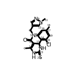 CC1=C(C(=O)NCc2cnn(C)c2)C(c2ccc(C)cc2Cl)NC(=S)N1